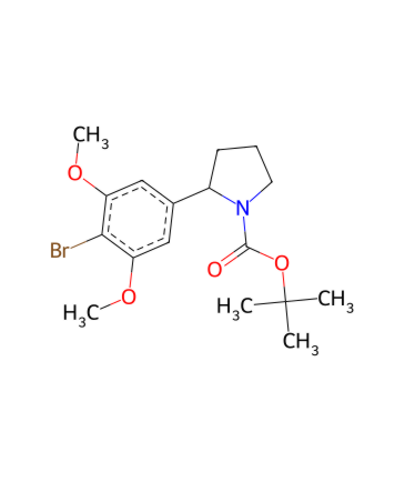 COc1cc(C2CCCN2C(=O)OC(C)(C)C)cc(OC)c1Br